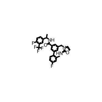 Cc1cc(F)ccc1-c1cc(Cn2ccoc2=N)cc(C(=O)NC(C)c2ccc(F)c(C(F)(F)F)c2)c1